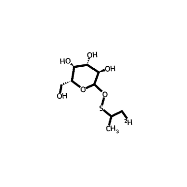 [2H]CC(C)SOC1O[C@H](CO)[C@H](O)[C@H](O)[C@H]1O